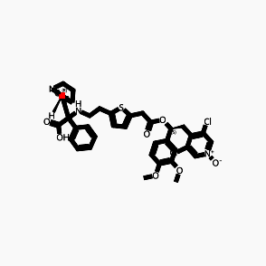 COc1ccc([C@H](Cc2c(Cl)c[n+]([O-])cc2Cl)OC(=O)Cc2ccc(CCNC(C(=O)O)(c3ccccc3)[C@H]3CN4CCC3CC4)s2)cc1OC